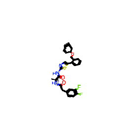 C[C@H](NC(=O)Cc1ccc(F)c(F)c1)C(=O)Nc1ncc(-c2ccccc2COC2CCCCC2)s1